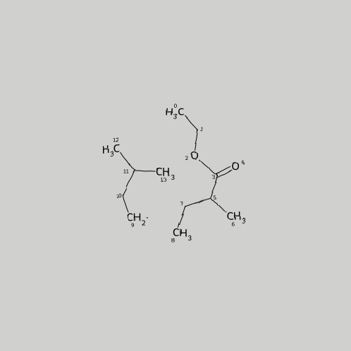 CCOC(=O)C(C)CC.[CH2]CC(C)C